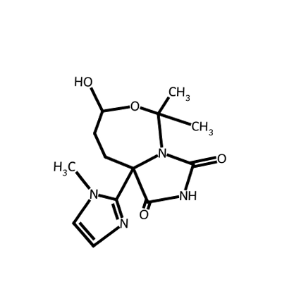 Cn1ccnc1C12CCC(O)OC(C)(C)N1C(=O)NC2=O